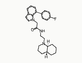 O=C(Cn1ccc2cccc(-c3ccc(F)cc3)c21)NCCN1CCC[C@H]2CCCC[C@@H]21